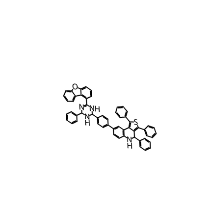 c1ccc(-c2sc(-c3ccccc3)c3c2-c2cc(-c4ccc(C5NC(c6cccc7oc8ccccc8c67)=NC(c6ccccc6)N5)cc4)ccc2NC3c2ccccc2)cc1